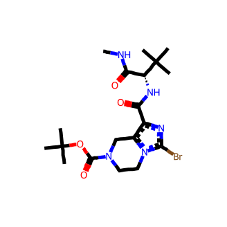 CNC(=O)[C@@H](NC(=O)c1nc(Br)n2c1CN(C(=O)OC(C)(C)C)CC2)C(C)(C)C